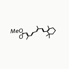 COC(=O)C=C(C)C=CC=C(C)C=CC1=C(C)CCCC1(C)C